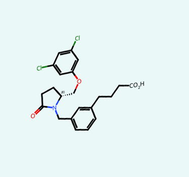 O=C(O)CCCc1cccc(CN2C(=O)CC[C@@H]2COc2cc(Cl)cc(Cl)c2)c1